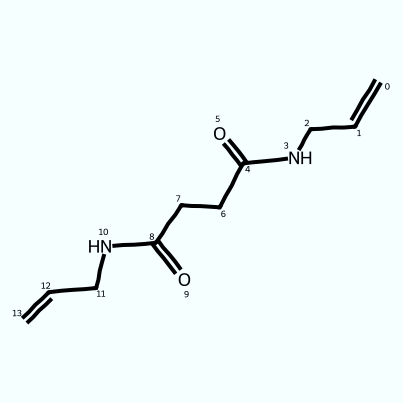 C=CCNC(=O)CCC(=O)NCC=C